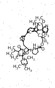 CCn1c(-c2cccnc2[C@H](C)OC)c2c3cc(ccc31)-c1csc(n1)C[C@H](NC(=O)C(C(C)C)N(C)C(=O)N1C[C@@H](C)N(C)C[C@H]1C)C(=O)N1CCC[C@H](N1)C(=O)OCC(C)(C)C2